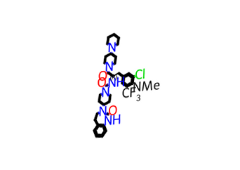 CNc1c(Cl)cc(C[C@@H](NC(=O)N2CCC(N3CCc4ccccc4NC3=O)CC2)C(=O)N2CCC(N3CCCCC3)CC2)cc1C(F)(F)F